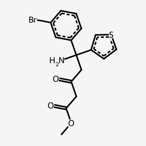 COC(=O)CC(=O)CC(N)(c1ccsc1)c1cccc(Br)c1